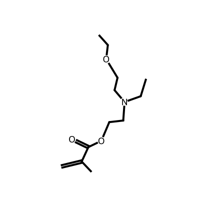 C=C(C)C(=O)OCCN(CC)CCOCC